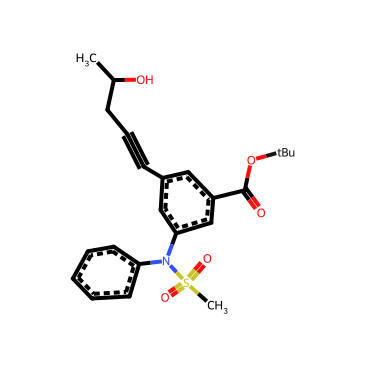 CC(O)CC#Cc1cc(C(=O)OC(C)(C)C)cc(N(c2ccccc2)S(C)(=O)=O)c1